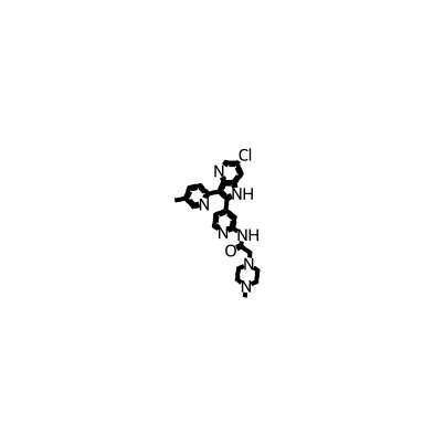 Cc1ccc(-c2c(-c3ccnc(NC(=O)CN4CCN(C)CC4)c3)[nH]c3cc(Cl)cnc23)nc1